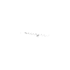 CCCCCCCCCCCCCCCCCCN.[Al]